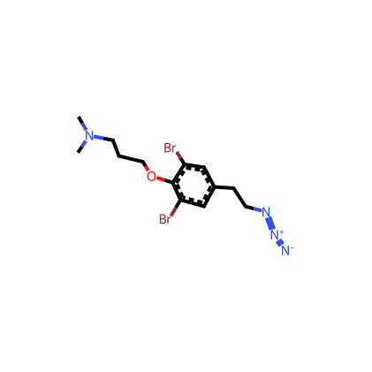 CN(C)CCCOc1c(Br)cc(CCN=[N+]=[N-])cc1Br